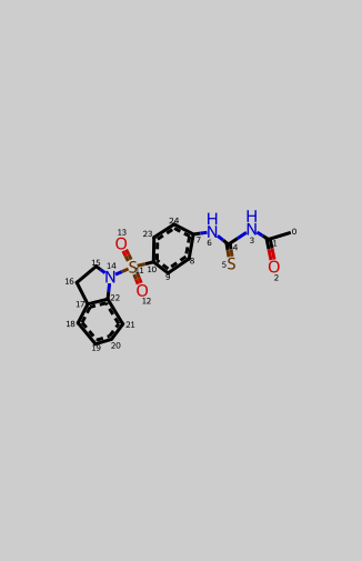 CC(=O)NC(=S)Nc1ccc(S(=O)(=O)N2CCc3ccccc32)cc1